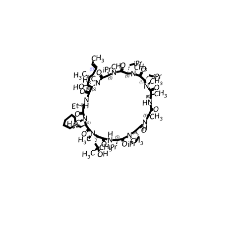 C/C=C/C[C@@H](C)[C@@H](O)[C@H]1C(=O)N[C@@H](CC)C(=O)N(C)[C@H](CN2CCCCC2)C(=O)N(C)[C@@H](CC(C)(C)O)C(=O)N[C@@H](C(C)C)C(=O)N(C)[C@@H](CC(C)C)C(=O)N[C@@H](C)C(=O)N[C@H](C)C(=O)N(C)[C@@H](CC(C)C)C(=O)N(C)[C@@H](CC(C)C)C(=O)N(C)[C@@H](C(C)C)C(=O)N1C